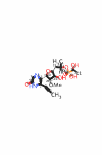 CC#Cc1[nH]c(=O)cnc1[C@@H]1O[C@H](CC(C)(CCC)OP(=O)(O)C(O)CC)C(O)[C@@H]1OC